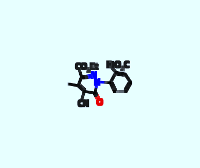 CCOC(=O)c1ccccc1-n1nc(C(=O)OCC)c(C)c(C#N)c1=O